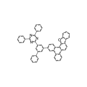 c1ccc(-c2cc(-c3ccc4c(c3)c3ccccc3c3ccc5c6ccccc6oc5c34)cc(-c3nc(-c4ccccc4)nc(-c4ccccc4)n3)c2)cc1